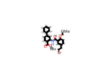 COCOc1ccc(CCBr)cc1C(=O)Nc1cc(-c2ccccc2)ccc1C(=O)OC(C)(C)C